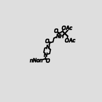 CCCCCCCCCC(=O)N1CCN(C(=O)CCNC(=O)C(OC(C)=O)C(C)(C)COC(C)=O)CC1